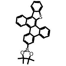 CC1(C)OB(c2ccc3c(c2)c2ccccc2c2c4sc5ccccc5c4c4ccccc4c32)OC1(C)C